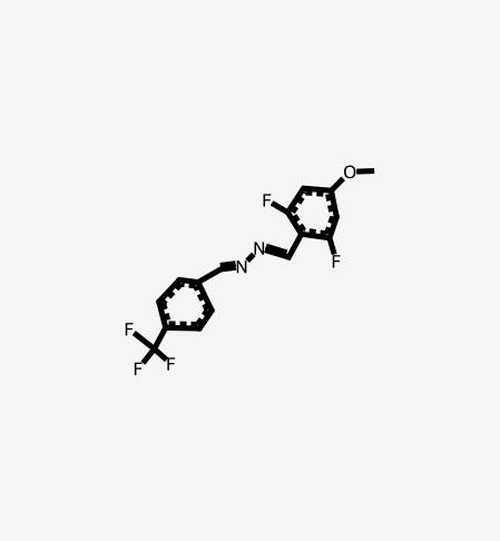 COc1cc(F)c(C=NN=Cc2ccc(C(F)(F)F)cc2)c(F)c1